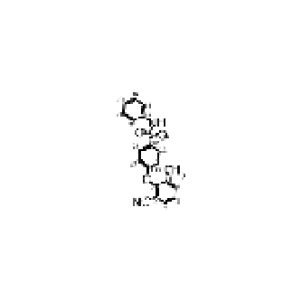 Cc1cccc(C#N)c1Oc1ccc(S(=O)(=O)Nc2ccccc2)cc1